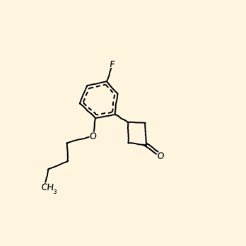 CCCCOc1ccc(F)cc1C1CC(=O)C1